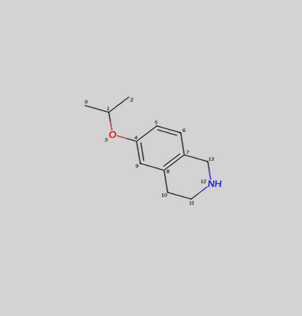 CC(C)Oc1ccc2c(c1)CCNC2